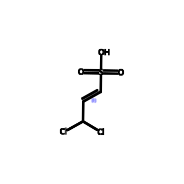 O=S(=O)(O)/C=C/C(Cl)Cl